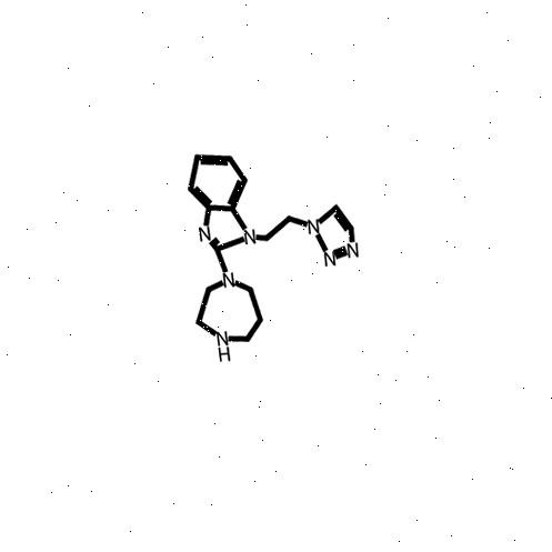 c1ccc2c(c1)nc(N1CCCNCC1)n2CCn1ccnn1